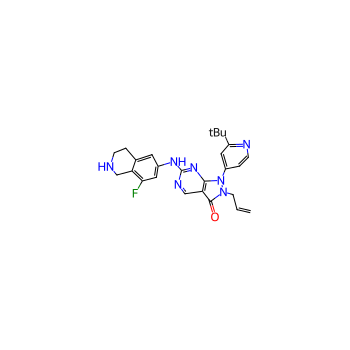 C=CCn1c(=O)c2cnc(Nc3cc(F)c4c(c3)CCNC4)nc2n1-c1ccnc(C(C)(C)C)c1